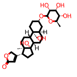 C[C@H]1OC(O[C@H]2CC[C@@]3(CO)[C@H](CC[C@@H]4[C@@H]3CC[C@]3(C)[C@@H](C5=CC(=O)OC5)CC[C@]43O)C2)[C@H](O)[C@H](O)[C@@H]1O